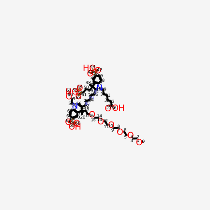 COCCOCCOCCOCCOCCOCCC1(C)C(/C=C/C=C/C=C2/N(CCCCCC(=O)O)c3ccc(S(=O)(=O)O)cc3C2(C)CCCS(=O)(=O)O)=CN(CCOC)c2ccc(S(=O)(=O)O)cc21